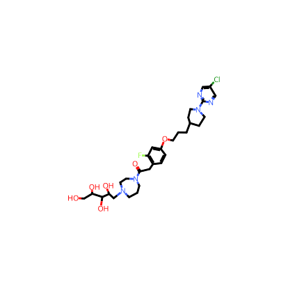 O=C(Cc1ccc(OCCCC2CCN(c3ncc(Cl)cn3)CC2)cc1F)N1CCCN(CC(O)C(O)C(O)CO)CC1